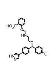 O=C(O)c1ccccc1OCNCCOC(c1ccc(Cl)cc1)c1ccc(-c2cn[nH]c2)cc1